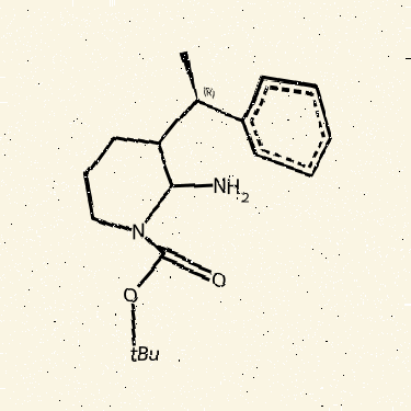 C[C@@H](c1ccccc1)C1CCCN(C(=O)OC(C)(C)C)C1N